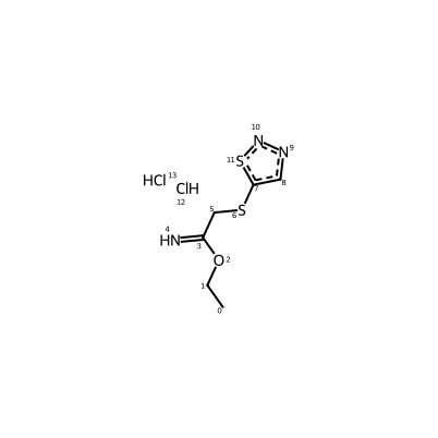 CCOC(=N)CSc1cnns1.Cl.Cl